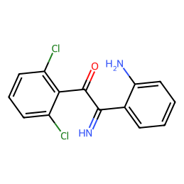 N=C(C(=O)c1c(Cl)cccc1Cl)c1ccccc1N